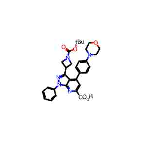 CC(C)(C)OC(=O)N1CC(c2nn(-c3ccccc3)c3nc(C(=O)O)cc(-c4ccc(N5CCOCC5)cc4)c23)C1